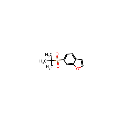 CC(C)(C)S(=O)(=O)c1ccc2ccoc2c1